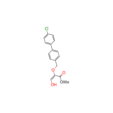 COC(=O)/C(=C\O)OCc1ccc(-c2ccc(Cl)cc2)cc1